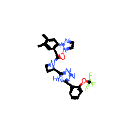 Cc1cc(C(=O)N2CCC2c2nnc(-c3ccccc3OC(F)(F)F)[nH]2)c(-n2nccn2)cc1C